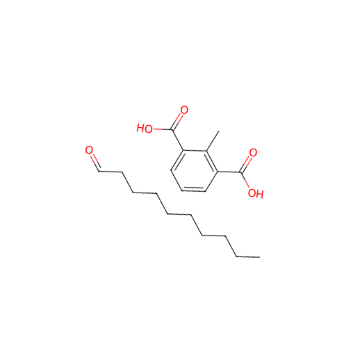 CCCCCCCCCC=O.Cc1c(C(=O)O)cccc1C(=O)O